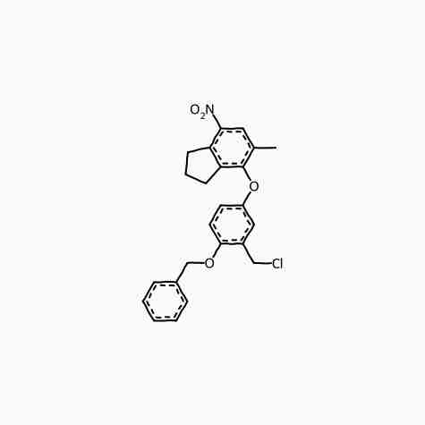 Cc1cc([N+](=O)[O-])c2c(c1Oc1ccc(OCc3ccccc3)c(CCl)c1)CCC2